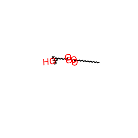 CCCCCCCCCCCCCCCCCC(=O)OCCOC(=O)CCCCCCc1cc(C(C)(C)C)c(O)c(C(C)(C)C)c1